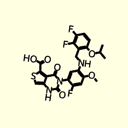 COc1cc(F)c(-n2c(=O)[nH]c3csc(C(=O)O)c3c2=O)cc1NCc1c(OC(C)C)ccc(F)c1F